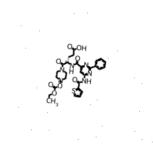 CCOC(=O)ON1CCN(C(=O)[C@H](CCC(=O)O)NC(=O)c2cc(NC(=O)c3cccs3)nc(-c3ccccc3)n2)CC1